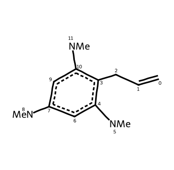 C=CCc1c(NC)cc(NC)cc1NC